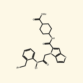 CCN(C(=O)Cn1c(C(=O)NC2CCC(C(=O)OC)CC2)cc2sccc21)c1ccccc1CC(C)C